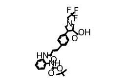 CC(C)(C)OC(=O)Nc1ccccc1NC(=O)/C=C/c1ccc(C2CN(CC(F)(F)F)CC2C(=O)O)cc1